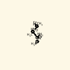 Cc1ccc(NC(=O)c2ccc(C)c(C(F)(F)F)c2)cc1C#Cc1nn([C@@H]2CCN(C)C2)c2ncnc(N)c12